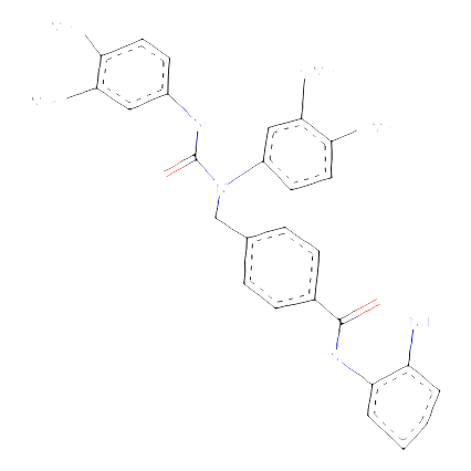 COc1ccc(NC(=O)N(Cc2ccc(C(=O)Nc3ccccc3N)cc2)c2ccc(OC)c(OC)c2)cc1OC